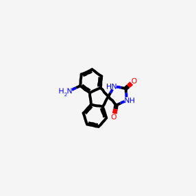 Nc1cccc2c1-c1ccccc1C21NC(=O)NC1=O